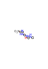 O=C(Nc1ccc(Nc2ccnc3cc([N+](=O)[O-])ccc23)cc1)c1cccc(Nc2ccccc2)c1